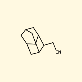 N#CCC1[C]2CC3CC(C2)CC1C3